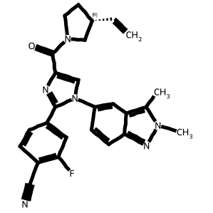 C=C[C@H]1CCN(C(=O)c2cn(-c3ccc4nn(C)c(C)c4c3)c(-c3ccc(C#N)c(F)c3)n2)C1